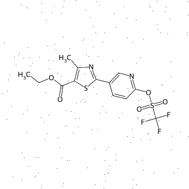 CCOC(=O)c1sc(-c2ccc(OS(=O)(=O)C(F)(F)F)nc2)nc1C